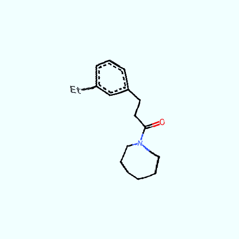 CCc1cccc(CCC(=O)N2CCCCC2)c1